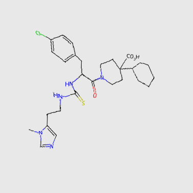 Cn1cncc1CCNC(=S)NC(Cc1ccc(Cl)cc1)C(=O)N1CCC(C(=O)O)(C2CCCCC2)CC1